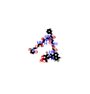 CC[C@@]1(O)C(=O)OCc2c1cc1n(c2=S)Cc2c-1nc1cc(F)c(C)c3c1c2[C@@H](NC(=O)COCNC(=O)CNC(=O)[C@H](Cc1ccccc1)NC(=O)CNC(=O)CNC(=O)CCOCCN1C(=O)C=CC1=O)CC3